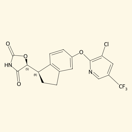 O=C1NC(=O)[C@H]([C@@H]2CCc3cc(Oc4ncc(C(F)(F)F)cc4Cl)ccc32)O1